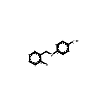 O=Cc1ccc(OCc2ccccc2Br)cc1